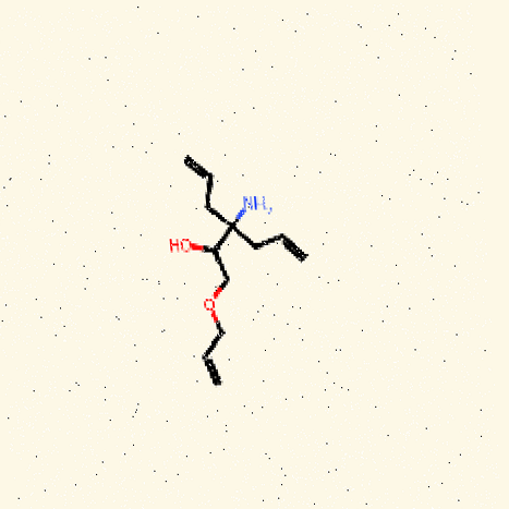 C=CCOCC(O)C(N)(CC=C)CC=C